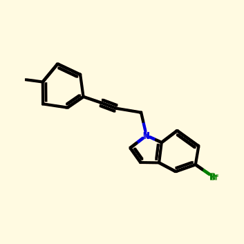 Cc1ccc(C#CCn2ccc3cc(Br)ccc32)cc1